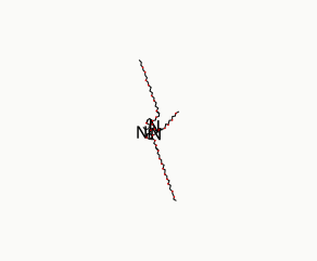 CCCCCCCCCC#CC(=N/c1ccccc1CCC/C=C/CCCCCCCCCCCCCCCCCCCC)/C(CCCC)=N/c1ccccc1CCC/C=C/CCCCCCCCCCCCCCCCCCCC.[Ni]